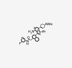 CNC1CC=C(c2cnc(N)c3c(-c4ccc(CC(=O)Nc5cncc(F)c5)c5ccccc45)nc(C(C)C)n23)CC1